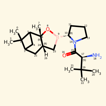 CC1(C)C2CC1[C@]1(C)OB([C@@H]3CCCN3C(=O)[C@@H](N)C(C)(C)C)C[C@@H]1C2